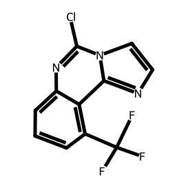 FC(F)(F)c1cccc2nc(Cl)n3ccnc3c12